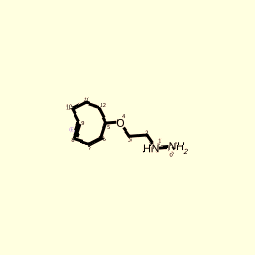 NNCCOC1CC/C=C/CCC1